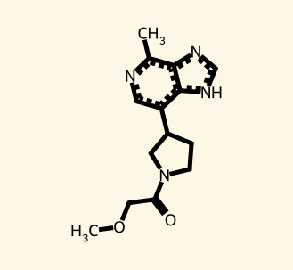 COCC(=O)N1CCC(c2cnc(C)c3nc[nH]c23)C1